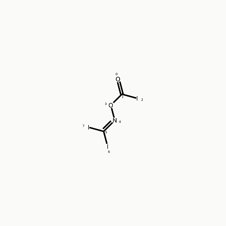 O=C(I)ON=C(I)I